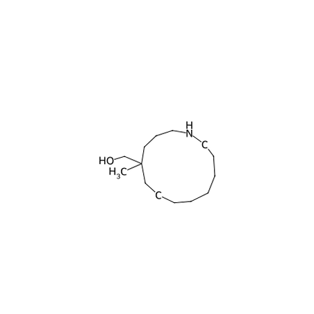 CC1(CO)CCCCCCCCNCCC1